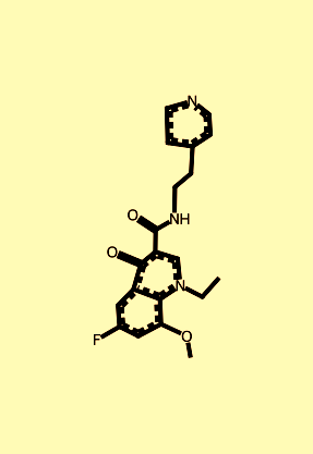 CCn1cc(C(=O)NCCc2ccncc2)c(=O)c2cc(F)cc(OC)c21